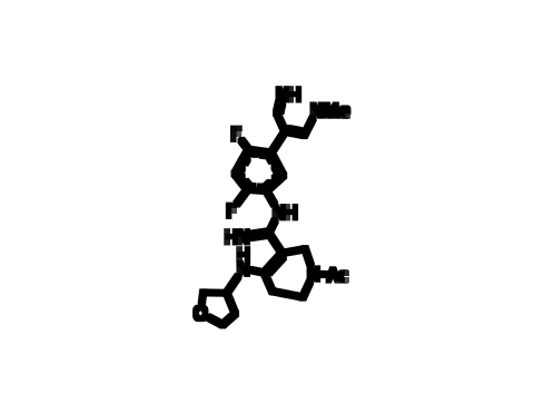 CN/C=C(\C=N)c1cc(NC(=N)C2=C(NC3CCOC3)CCN(C(C)=O)C2)c(F)cc1F